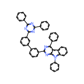 c1ccc(-c2nc(-c3ccccc3)nc(-c3cccc(-c4cccc(-c5nc(-c6ccccc6)c6c7ccccc7n(-c7ccccc7)c6n5)c4)c3)n2)cc1